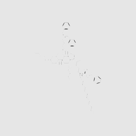 CCCCCCCCCCCCN(CCCC(C)[C@H]1CC[C@H]2C3[C@H](OCCCN(Cc4ccccc4)Cc4ccccc4)CC4C[C@H](OCCCC)CC[C@]4(C)[C@H]3C[C@H](OCCCC)[C@]12C)C(=O)OCc1ccccc1